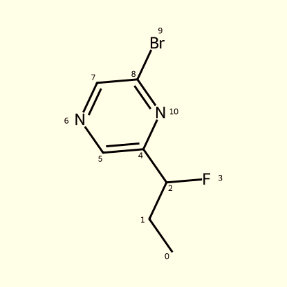 CCC(F)c1cncc(Br)n1